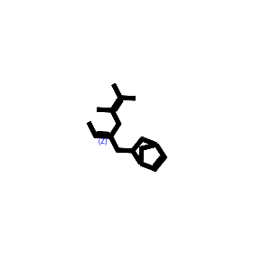 C/C=C(\CC(C)=C(C)C)CC1CC2C=CC1C2